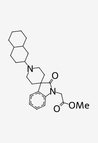 COC(=O)CN1C(=O)C2(CCN(C3CCC4CCCCC4C3)CC2)c2ccccc21